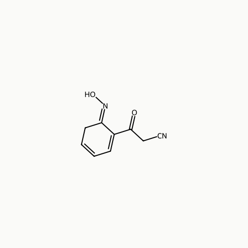 N#CCC(=O)C1=CC=CCC1=NO